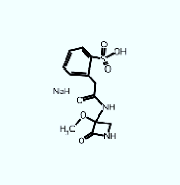 COC1(NC(=O)Cc2ccccc2S(=O)(=O)O)CNC1=O.[NaH]